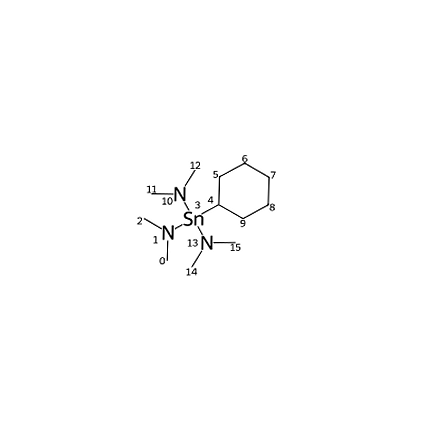 C[N](C)[Sn]([CH]1CCCCC1)([N](C)C)[N](C)C